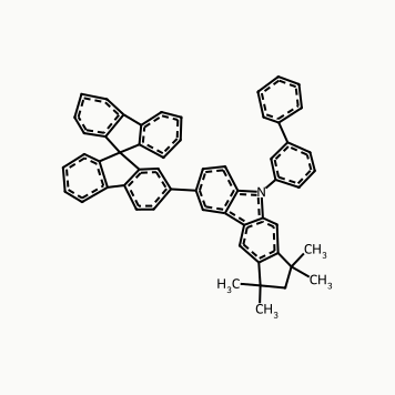 CC1(C)CC(C)(C)c2cc3c(cc21)c1cc(-c2ccc4c(c2)C2(c5ccccc5-c5ccccc52)c2ccccc2-4)ccc1n3-c1cccc(-c2ccccc2)c1